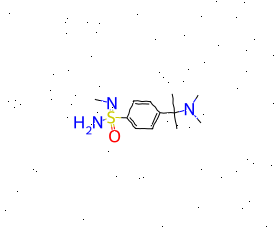 CN=S(N)(=O)c1ccc(C(C)(C)N(C)C)cc1